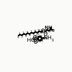 CCCCCCCCCCCCCOC(=O)[C@@H](N)CC(C)C.Cc1ccc(S(=O)(=O)O)cc1.N